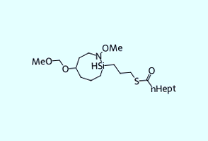 CCCCCCCC(=O)SCCC[SiH]1CCCC(OCOC)CCN1OC